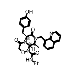 CCNC(=O)N1OCC(=O)N2[C@@H]1[C@H](C)N(Cc1cccc3cccnc13)C(=O)[C@@H]2Cc1ccc(O)cc1